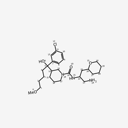 COCCCCC(O)(c1cccc(Cl)c1)C1CCCN(C(=O)NC(CN)CC2CCCCO2)C1